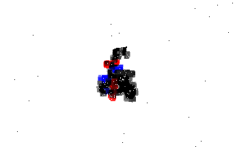 C=CCOC(=O)NC[C@H](NC(=O)[C@@H]1CCCN1C(=O)OCC1c2ccccc2-c2ccccc21)C(=O)OC